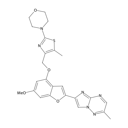 COc1cc(OCc2nc(N3CCOCC3)sc2C)c2cc(-c3cn4nc(C)cnc4n3)oc2c1